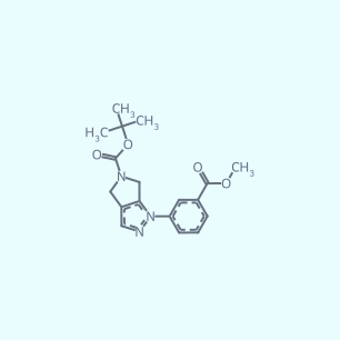 COC(=O)c1cccc(-n2ncc3c2CN(C(=O)OC(C)(C)C)C3)c1